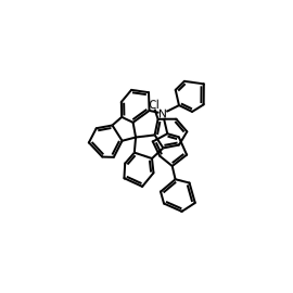 Clc1cccc2c1C1(c3ccccc3-2)c2ccccc2-c2cccc(N(c3ccccc3)c3ccc(-c4ccccc4)cc3)c21